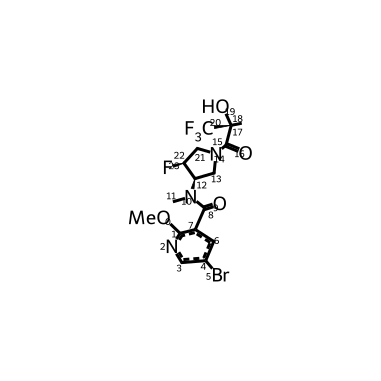 COc1ncc(Br)cc1C(=O)N(C)[C@@H]1CN(C(=O)[C@@](C)(O)C(F)(F)F)C[C@@H]1F